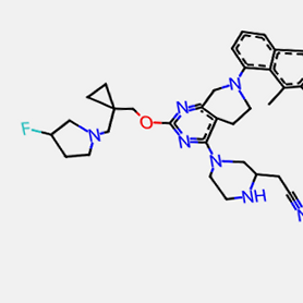 Cc1c(F)ccc2cccc(N3CCc4c(nc(OCC5(CN6CCC(F)C6)CC5)nc4N4CCNC(CC#N)C4)C3)c12